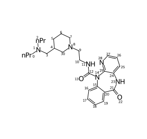 CCCN(CCC)CC1CCCN(CCNC(=O)N2c3ccccc3C(=O)Nc3cccnc32)C1